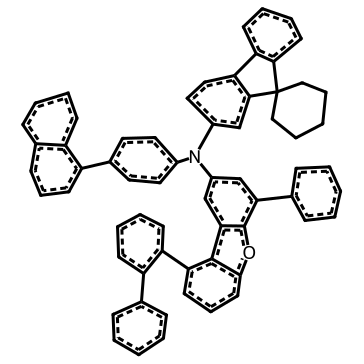 c1ccc(-c2ccccc2-c2cccc3oc4c(-c5ccccc5)cc(N(c5ccc(-c6cccc7ccccc67)cc5)c5ccc6c(c5)C5(CCCCC5)c5ccccc5-6)cc4c23)cc1